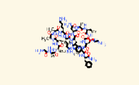 CC[C@H](C)[C@H](NC(=O)[C@@H](NC(=O)CN)C(C)C)C(=O)N[C@@H](CC(=O)O)C(=O)N[C@@H](C)C(=O)N[C@@H](C)C(=O)N[C@@H](CCCCN)C(=O)N[C@@H](CCCCN)C(=O)N[C@@H](Cc1c[nH]c2ccccc12)C(=O)N[C@@H](CC(N)=O)C(=O)N[C@H](C(=O)N[C@@H](CC(C)C)C(=O)N[C@@H](CCCCN)C(=O)N[C@@H](CC(N)=O)C(=O)N[C@@H](CC(C)C)C(=O)N[C@@H](Cc1ccccc1)C(N)=O)C(C)C